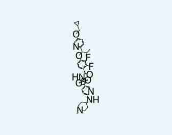 CC[C@@H](Oc1ccc(C(=O)NS(=O)(=O)c2ccc(NC3CCN(C)CC3)nc2)c(F)c1F)c1ccc(OCC2CC2)cn1